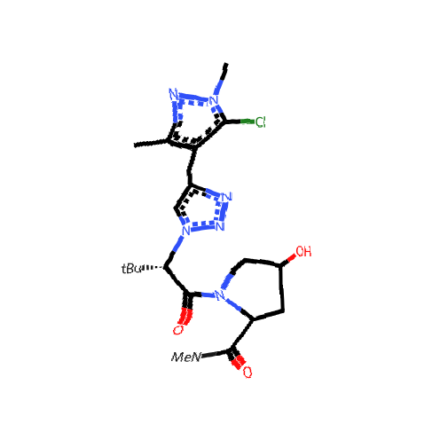 CNC(=O)C1CC(O)CN1C(=O)[C@@H](n1cc(-c2c(C)nn(C)c2Cl)nn1)C(C)(C)C